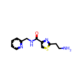 NCCc1nc(C(=O)NCc2ccccn2)cs1